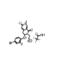 Cn1cc2c(cc1=O)CC(Nc1ccc(Br)cc1F)N(CCO)C2=O.O=C(O)C(F)(F)F